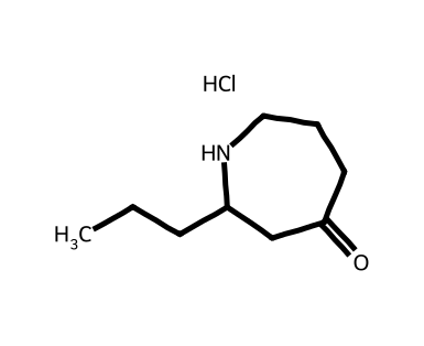 CCCC1CC(=O)CCCN1.Cl